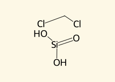 ClCCl.O=[Si](O)O